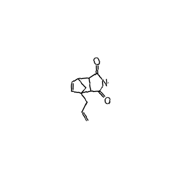 C=CCC12C=CC(C1)C1C(=O)[N]C(=O)C12